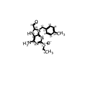 CC[S+]([O-])c1nc(N)c2c(n1)N(Cc1ccc(C)cc1)C(C=O)N2